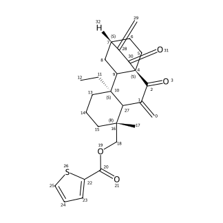 C=C1C(=O)[C@@]23CC[C@@H](CC2[C@]2(CC)CCC[C@@](C)(COC(=O)c4cccs4)C12)C(=C)C3=O